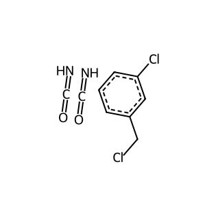 ClCc1cccc(Cl)c1.N=C=O.N=C=O